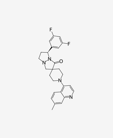 Cc1ccc2c(N3CCC4(CC3)CN3CC[C@@H](c5cc(F)cc(F)c5)N3C4=O)ccnc2c1